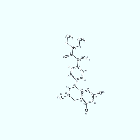 CCN(CC)C(=O)N(C)c1ccc(C2CN(C)Cc3c(Cl)cc(Cl)cc32)cc1